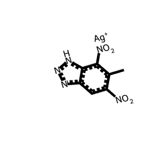 Cc1c([N+](=O)[O-])cc2nn[nH]c2c1[N+](=O)[O-].[Ag+]